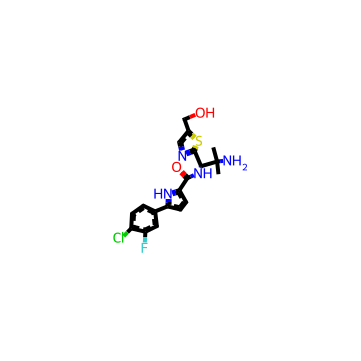 CC(C)(N)C(NC(=O)c1ccc(-c2ccc(Cl)c(F)c2)[nH]1)c1ncc(CO)s1